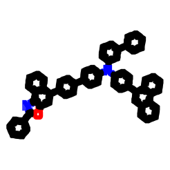 c1ccc(-c2cccc(N(c3ccc(-c4ccc(-c5cc6oc(-c7ccccc7)nc6c6ccccc56)cc4)cc3)c3ccc(-c4cc5ccccc5c5ccccc45)cc3)c2)cc1